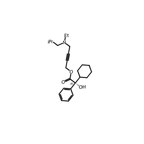 CCN(CC#CCOC(=O)[C@](O)(c1ccccc1)C1CCCCC1)CC(C)C